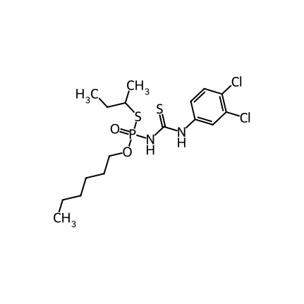 CCCCCCOP(=O)(NC(=S)Nc1ccc(Cl)c(Cl)c1)SC(C)CC